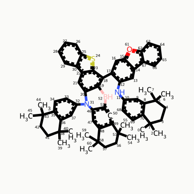 CC1(C)CCC(C)(C)c2cc(Nc3cc4c(cc3-c3c5c(cc6c3sc3ccccc36)N(c3ccc6c(c3)C(C)(C)CCC6(C)C)c3cc6c(cc3B5)C(C)(C)CCC6(C)C)oc3ccccc34)ccc21